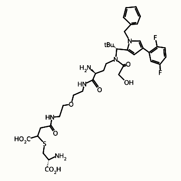 CC(C)(C)[C@H](c1cc(-c2cc(F)ccc2F)cn1Cc1ccccc1)N(CC[C@H](N)C(=O)NCCOCCNC(=O)CC(SC[C@H](N)C(=O)O)C(=O)O)C(=O)CO